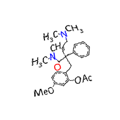 COc1ccc(CC(CCN(C)C)(C(=O)N(C)C)c2ccccc2)c(OC(C)=O)c1